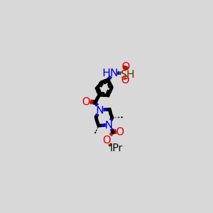 CC(C)OC(=O)N1[C@H](C)CN(C(=O)c2ccc(N[SH](=O)=O)cc2)C[C@@H]1C